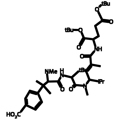 CNC(C(=O)NC(C(=O)N(C)C(/C=C(\C)C(=O)NC(CCC(=O)OC(C)(C)C)C(=O)OC(C)(C)C)C(C)C)C(C)(C)C)C(C)(C)c1ccc(C(=O)O)cc1